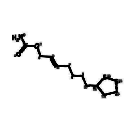 NC(=O)OCC=CCCCCC1CCSS1